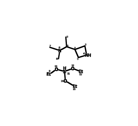 CC(C1CNC1)N(C)C.CCO[SiH](OCC)OCC